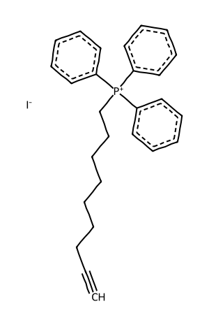 C#CCCCCCCC[P+](c1ccccc1)(c1ccccc1)c1ccccc1.[I-]